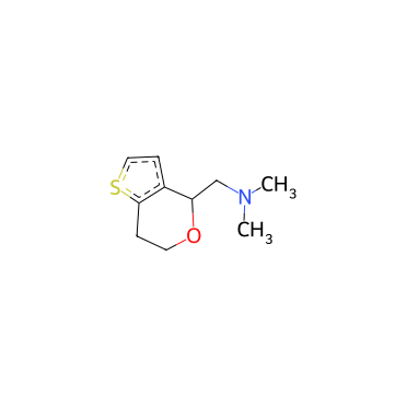 CN(C)CC1OCCc2sccc21